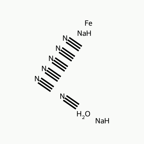 C#N.C#N.C#N.C#N.C#N.C#N.O.[Fe].[NaH].[NaH]